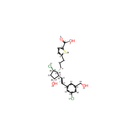 O=C(O)c1ccc(CCC[C@@H]2[C@@H](/C=C/c3cc(Cl)cc(CO)c3)[C@H](O)C[C@H]2Cl)s1